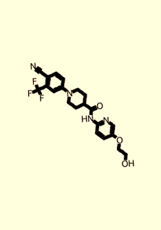 N#Cc1ccc(N2CCC(C(=O)Nc3ccc(OCCO)cn3)CC2)cc1C(F)(F)F